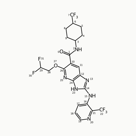 O=C(NC1CCC(C(F)(F)F)CC1)c1cc2nc(Nc3cccnc3C(F)(F)F)[nH]c2nc1OCC(F)F